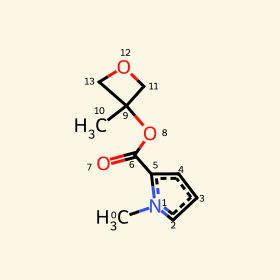 Cn1cccc1C(=O)OC1(C)COC1